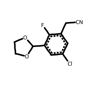 N#CCc1cc(Cl)cc(C2OCCO2)c1F